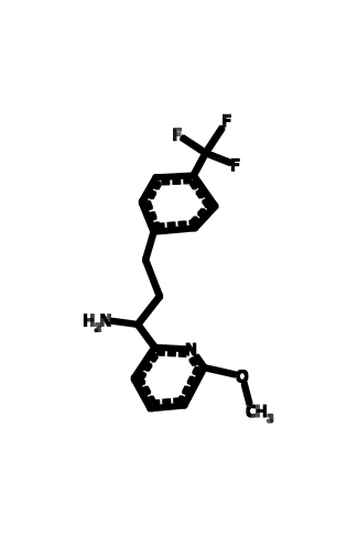 COc1cccc(C(N)CCc2ccc(C(F)(F)F)cc2)n1